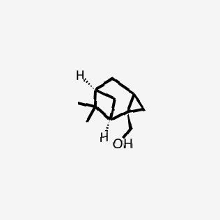 CC1(C)[C@H]2CC3C[C@]3(CO)[C@@H]1C2